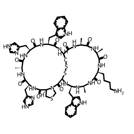 C[C@@H]1NC(=O)[C@H](CCCCN)NC(=O)[C@H](C)NC(=O)[C@H](C)NC(=O)[C@@H]2CSSC(N[C@H](Cc3c[nH]c4ccccc34)N1)C(=O)N1CSC[C@H]1C(=O)N[C@@H](Cc1c[nH]cn1)C(=O)N[C@H](C)C(=O)N[C@@H](Cc1c[nH]cn1)C(=O)N[C@@H](Cc1c[nH]c3ccccc13)C(=O)N2